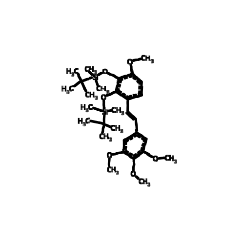 COc1cc(C=Cc2ccc(OC)c(O[Si](C)(C)C(C)(C)C)c2O[Si](C)(C)C(C)(C)C)cc(OC)c1OC